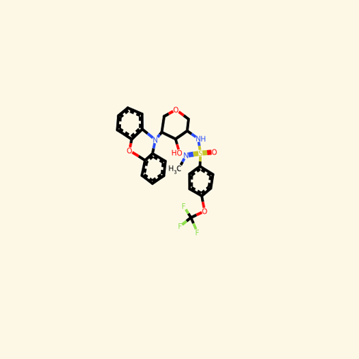 CN=S(=O)(NC1COCC(N2c3ccccc3Oc3ccccc32)C1O)c1ccc(OC(F)(F)F)cc1